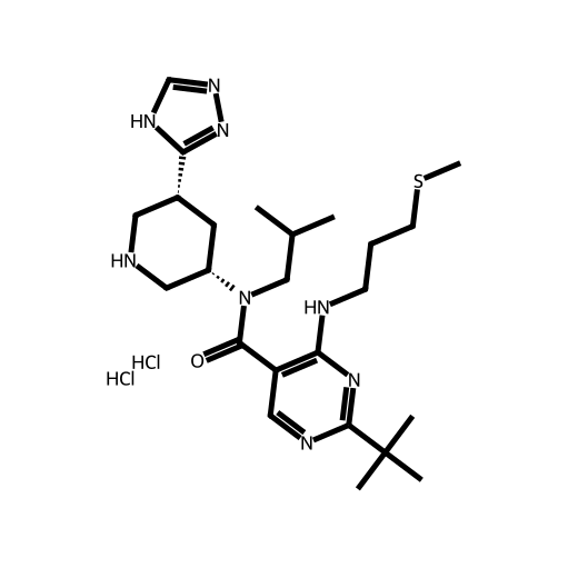 CSCCCNc1nc(C(C)(C)C)ncc1C(=O)N(CC(C)C)[C@@H]1CNC[C@H](c2nnc[nH]2)C1.Cl.Cl